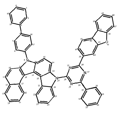 c1ccc(-c2ccc(-n3c4ccc5ccccc5c4c4c5c6ccccc6n(-c6nc(-c7ccccc7)nc(-c7ccc8c(c7)oc7ccccc78)n6)c5ccc43)cc2)cc1